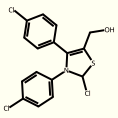 OCC1=C(c2ccc(Cl)cc2)N(c2ccc(Cl)cc2)C(Cl)S1